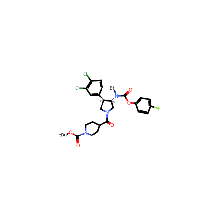 CCN(C(=O)Oc1ccc(F)cc1)[C@@H]1CN(C(=O)C2CCN(C(=O)OC(C)(C)C)CC2)C[C@H]1c1ccc(Cl)c(Cl)c1